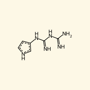 N=C(N)NC(=N)Nc1cc[nH]c1